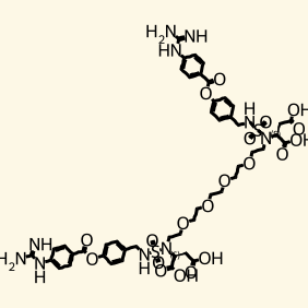 N=C(N)Nc1ccc(C(=O)Oc2ccc(CNS(=O)(=O)N(CCOCCOCCOCCOCCN([C@@H](CC(=O)O)C(=O)O)S(=O)(=O)NCc3ccc(OC(=O)c4ccc(NC(=N)N)cc4)cc3)[C@@H](CC(=O)O)C(=O)O)cc2)cc1